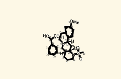 COc1ccc2c(c1)CCN1C[C@H]3CCCN(S(C)(=O)=O)[C@H]3C[C@@H]21.O=C(O)C(O)c1ccccc1